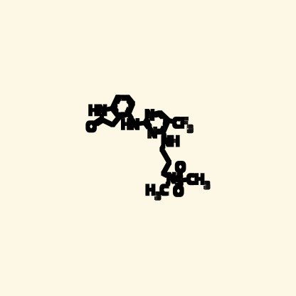 CN(CCCNc1nc(Nc2cccc3c2CC(=O)N3)ncc1C(F)(F)F)S(C)(=O)=O